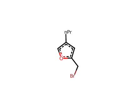 CCCc1coc(CBr)c1